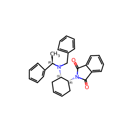 C[C@H](c1ccccc1)N(Cc1ccccc1)[C@H]1CC=CC[C@H]1N1C(=O)c2ccccc2C1=O